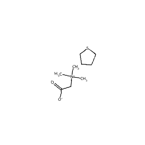 C1CCSC1.C[N+](C)(C)CC(=O)[O-]